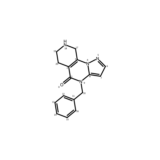 O=c1c2c(n3nccc3n1Cc1ccccc1)CNCC2